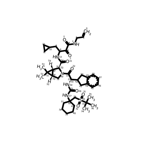 C=CCNC(=O)C(=O)C(CC1CC1)NC(=O)[C@@H]1[C@@H]2[C@H](CN1C(=O)[C@@H](NC(=O)NC1(CS(=O)(=O)C(C)(C)C)CCCCC1)C1Cc3ccccc3C1)C2(C)C